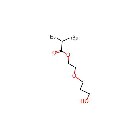 CCCCC(CC)C(=O)OCCOCCCO